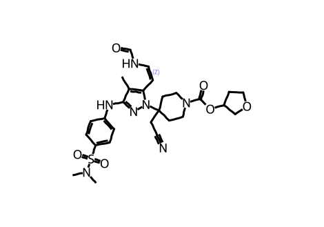 Cc1c(Nc2ccc(S(=O)(=O)N(C)C)cc2)nn(C2(CC#N)CCN(C(=O)OC3CCOC3)CC2)c1/C=C\NC=O